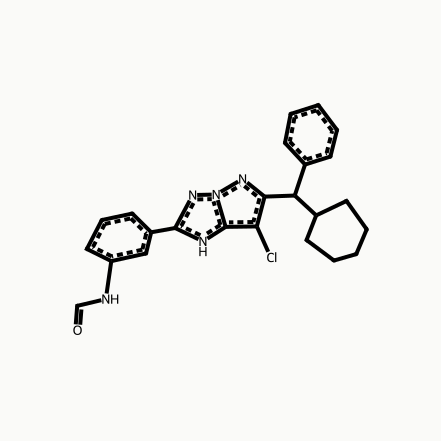 O=CNc1cccc(-c2nn3nc(C(c4ccccc4)C4CCCCC4)c(Cl)c3[nH]2)c1